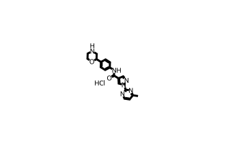 Cc1ccnc(-n2cc(C(=O)Nc3ccc(C4CNCCO4)cc3)cn2)n1.Cl